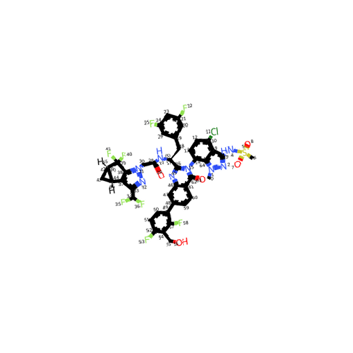 Cn1nc(NS(C)(=O)=O)c2c(Cl)ccc(-n3c([C@H](Cc4cc(F)cc(F)c4)NC(=O)Cn4nc(C(F)F)c5c4C(F)(F)[C@@H]4C[C@H]54)nc4cc(-c5ccc(F)c(CO)c5F)ccc4c3=O)c21